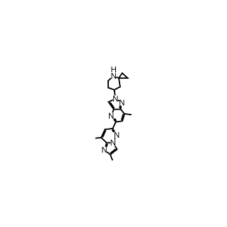 Cc1cn2nc(-c3cc(C)c4nn(C5CCNC6(CC6)C5)cc4n3)cc(C)c2n1